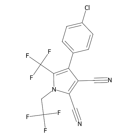 N#Cc1c(-c2ccc(Cl)cc2)c(C(F)(F)F)n(CC(F)(F)F)c1C#N